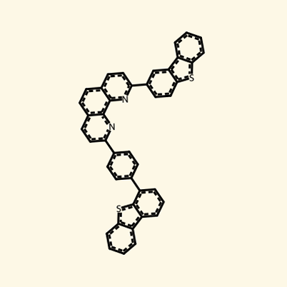 c1ccc2c(c1)sc1ccc(-c3ccc4ccc5ccc(-c6ccc(-c7cccc8c7sc7ccccc78)cc6)nc5c4n3)cc12